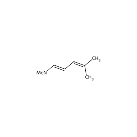 CN/C=C/C=C(C)C